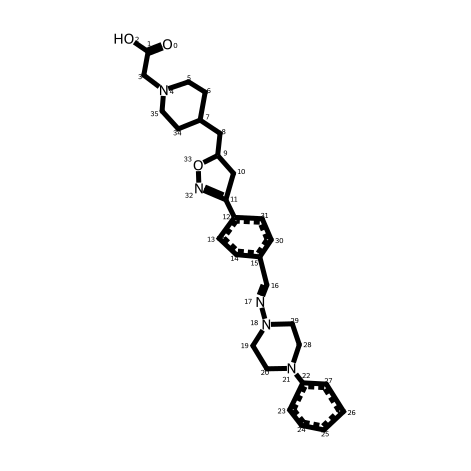 O=C(O)CN1CCC(CC2CC(c3ccc(C=NN4CCN(c5ccccc5)CC4)cc3)=NO2)CC1